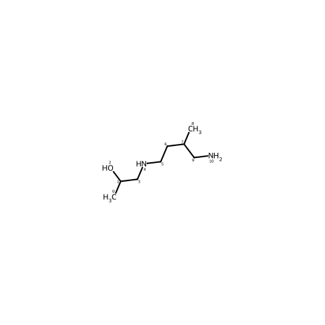 CC(O)CNCCC(C)CN